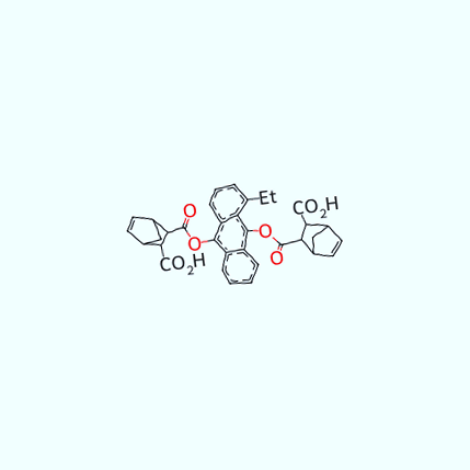 CCc1cccc2c(OC(=O)C3C4C=CC(C4)C3C(=O)O)c3ccccc3c(OC(=O)C3C4C=CC(C4)C3C(=O)O)c12